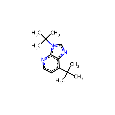 CC(C)(C)c1ccnc2c1ncn2C(C)(C)C